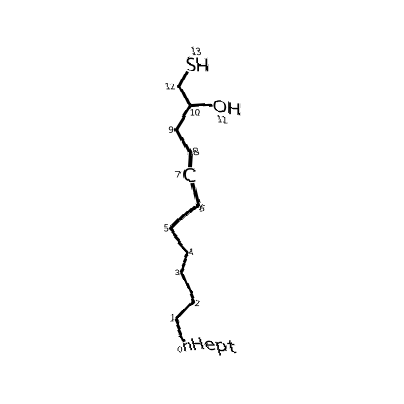 CCCCCCCCCCCCCCCCC(O)CS